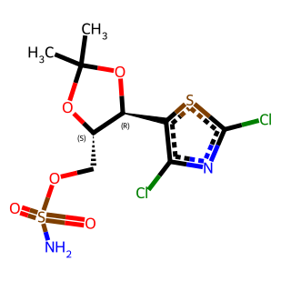 CC1(C)O[C@@H](COS(N)(=O)=O)[C@H](c2sc(Cl)nc2Cl)O1